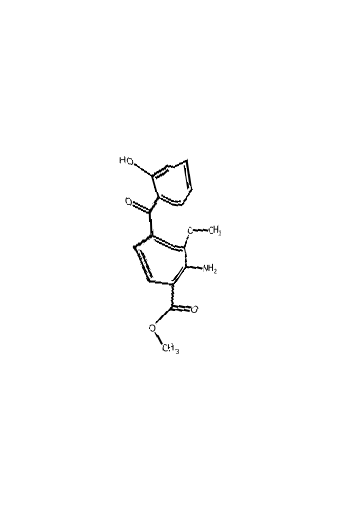 COC(=O)c1ccc(C(=O)c2ccccc2O)c(OC)c1N